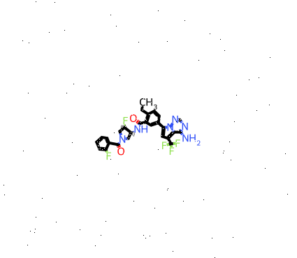 CCc1ccc(-c2cc(C(F)(F)F)c3c(N)ncnn23)cc1C(=O)N[C@@H]1CN(C(=O)c2ccccc2F)C[C@@H]1F